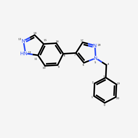 c1ccc(Cn2cc(-c3ccc4[nH]ncc4c3)cn2)cc1